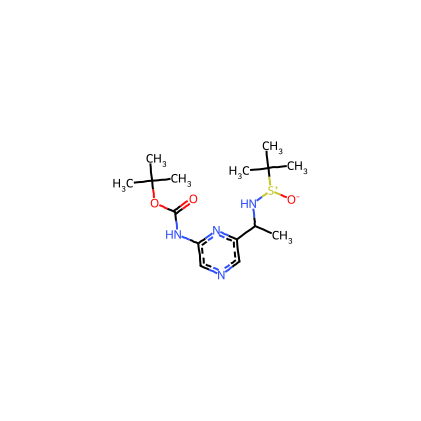 CC(N[S+]([O-])C(C)(C)C)c1cncc(NC(=O)OC(C)(C)C)n1